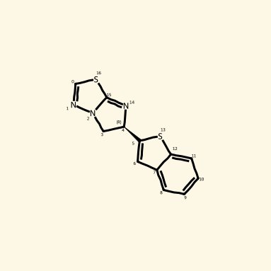 C1=NN2C[C@H](c3cc4ccccc4s3)N=C2S1